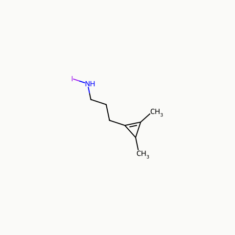 CC1=C(CCCNI)C1C